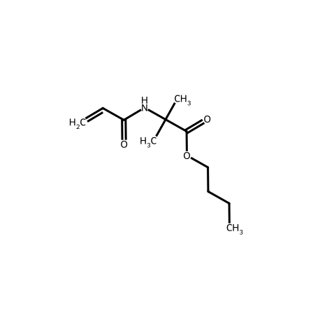 C=CC(=O)NC(C)(C)C(=O)OCCCC